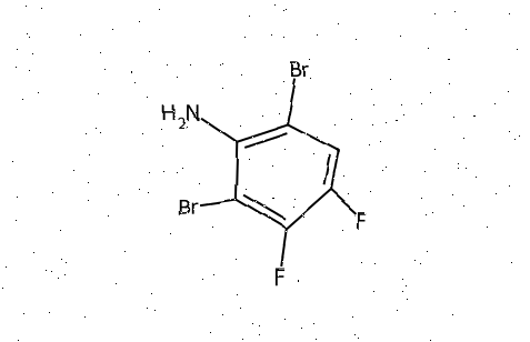 Nc1c(Br)cc(F)c(F)c1Br